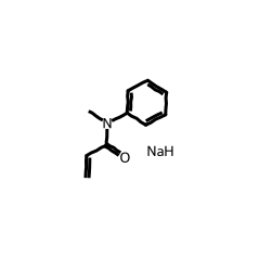 C=CC(=O)N(C)c1ccccc1.[NaH]